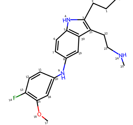 CCCc1[nH]c2ccc(Nc3ccc(F)c(OC)c3)cc2c1CCNC